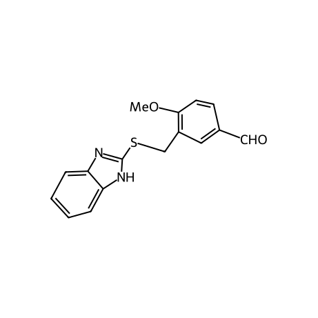 COc1ccc(C=O)cc1CSc1nc2ccccc2[nH]1